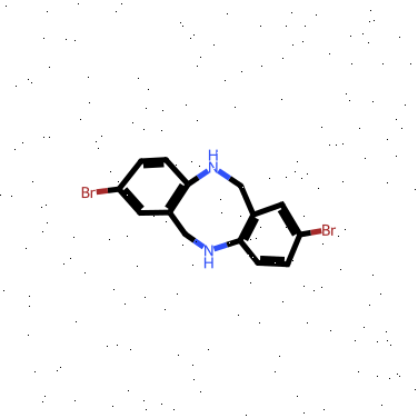 Brc1ccc2c(c1)CNc1ccc(Br)cc1CN2